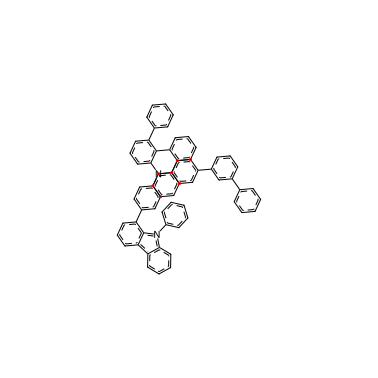 c1ccc(-c2cccc(-c3ccc(N(c4ccc(-c5cccc6c7ccccc7n(-c7ccccc7)c56)cc4)c4cccc(-c5ccccc5)c4-c4ccccc4-c4ccccc4)cc3)c2)cc1